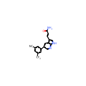 N#Cc1cc(-c2cnc3[nH]cc(C=CC(N)=O)c3c2)cc(C(F)(F)F)c1